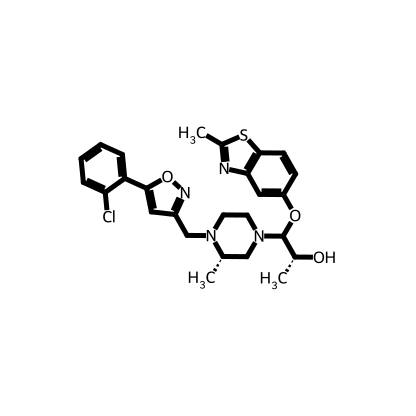 Cc1nc2cc(OC([C@@H](C)O)N3CCN(Cc4cc(-c5ccccc5Cl)on4)[C@@H](C)C3)ccc2s1